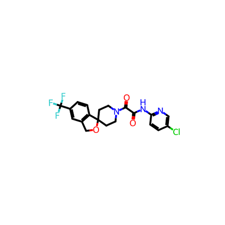 O=C(Nc1ccc(Cl)cn1)C(=O)N1CCC2(CC1)OCc1cc(C(F)(F)F)ccc12